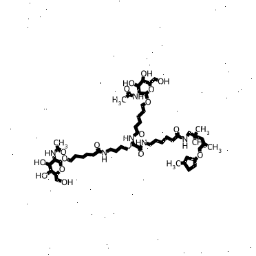 CC(=O)NC1C(OCCCCCC(=O)NCCCC[C@H](NC(=O)CCCCCOC2OC(CO)C(O)C(O)C2NC(C)=O)C(=O)NCCCCCC(=O)NCC(C)(C)CC(C)COC2CCC(C)C2)OC(CO)C(O)C1O